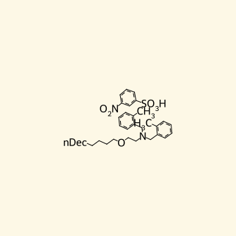 CCCCCCCCCCCCCCOCCN(Cc1ccccc1C)Cc1ccccc1C.O=[N+]([O-])c1cccc(S(=O)(=O)O)c1